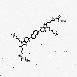 C=C(CCCNC(=O)OC(C)(C)C)c1nc2nc(-c3ccc4cc(-c5cnc6c(n5)nc(CCCCNC(=O)OC(C)(C)C)n6COCC[Si](C)(C)C)ccc4c3)cnc2n1COCC[Si](C)(C)C